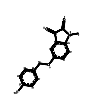 CN1C(=O)C(=O)c2cc(OCc3ccc(F)cc3)ccc21